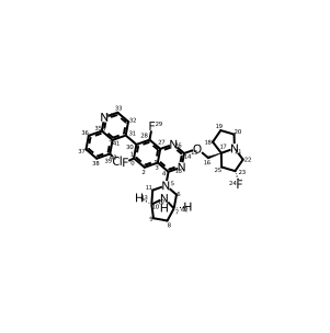 Fc1cc2c(N3C[C@H]4CC[C@@H](C3)N4)nc(OC[C@@]34CCCN3C[C@H](F)C4)nc2c(F)c1-c1ccnc2cccc(Cl)c12